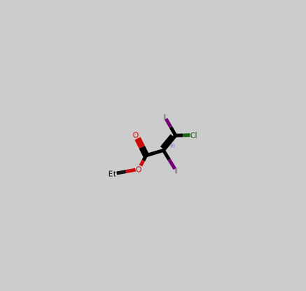 CCOC(=O)/C(I)=C(/Cl)I